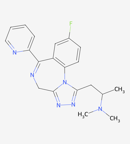 CC(Cc1nnc2n1-c1ccc(F)cc1C(c1ccccn1)=NC2)N(C)C